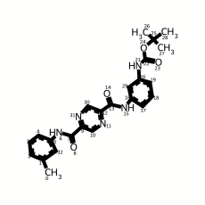 Cc1cccc(NC(=O)c2cnc(C(=O)Nc3cccc(NC(=O)OC(C)(C)C)c3)cn2)c1